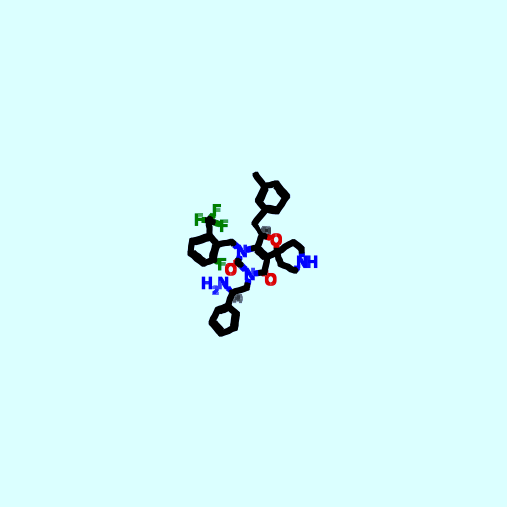 Cc1cccc(C[C@H]2OC3(CCNCC3)c3c2n(Cc2c(F)cccc2C(F)(F)F)c(=O)n(C[C@H](N)c2ccccc2)c3=O)c1